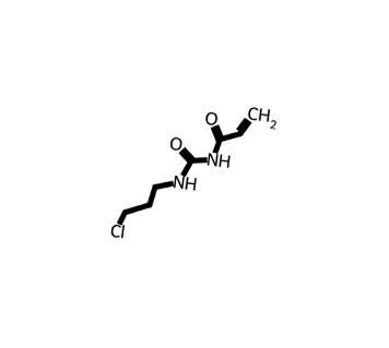 C=CC(=O)NC(=O)NCCCCl